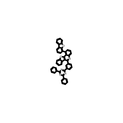 c1ccc(-c2nc(-c3ccccc3)nc(-c3cccc(-c4nc5cccc(-c6cccc7c6oc6ccccc67)c5c5oc6ccccc6c45)c3)n2)cc1